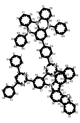 c1ccc(-c2cc(-c3ccccc3)nc(-c3ccc(-n4c5ccccc5c5c6oc7ccccc7c6ccc54)c(-c4nc(-c5ccccc5)nc(-c5ccc(-c6cc7c8c(c6)N(c6ccccc6)c6ccccc6B8c6ccccc6N7c6ccccc6)cc5)n4)c3)n2)cc1